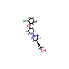 CC(C)(O)C#Cc1cnc(N2CCC(Oc3cc(F)ccc3Br)CC2)nc1